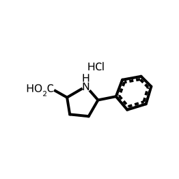 Cl.O=C(O)C1CCC(c2ccccc2)N1